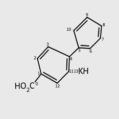 O=C(O)c1ccc(-c2ccccc2)cc1.[KH]